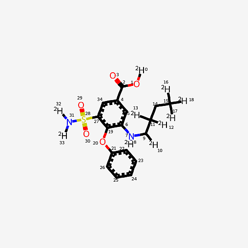 [2H]OC(=O)c1cc(N([2H])C([2H])C([2H])([2H])CC([2H])([2H])[2H])c(Oc2ccccc2)c(S(=O)(=O)N([2H])[2H])c1